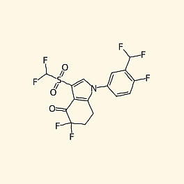 O=C1c2c(S(=O)(=O)C(F)F)cn(-c3ccc(F)c(C(F)F)c3)c2CCC1(F)F